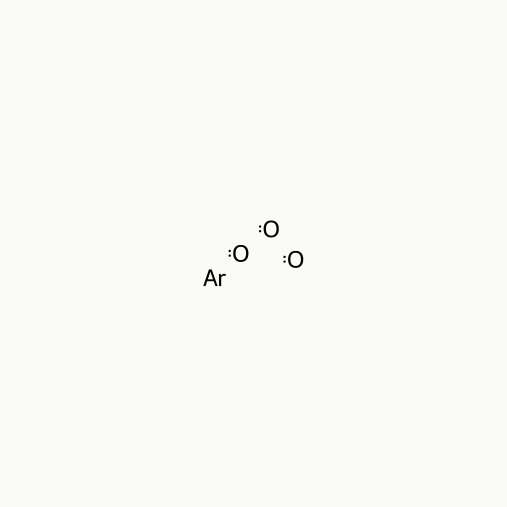 [Ar].[O].[O].[O]